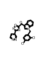 O=C(c1nc(-c2ccnnc2)no1)c1cn(Cc2ccc(Cl)cc2Cl)c2ccccc12